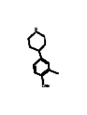 COc1ccc(C2CCNCC2)cc1C